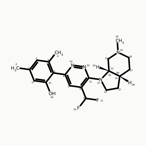 Cc1cc(C)c(-c2cc(C(F)F)c(N3CC[C@H]4CCN(C)C[C@H]43)nn2)c(O)c1